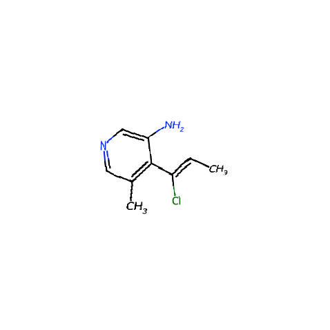 C/C=C(\Cl)c1c(C)cncc1N